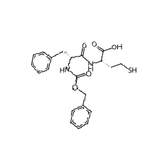 O=C(N[C@H](Cc1ccccc1)C(=O)N[C@@H](CCS)C(=O)O)OCc1ccccc1